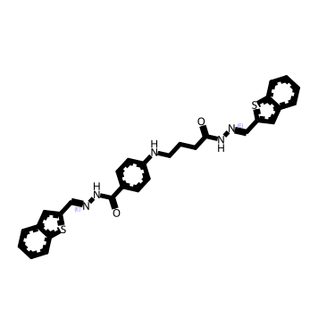 O=C(CCCNc1ccc(C(=O)N/N=C/c2cc3ccccc3s2)cc1)N/N=C/c1cc2ccccc2s1